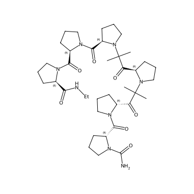 CCNC(=O)[C@H]1CCCN1C(=O)[C@H]1CCCN1C(=O)[C@H]1CCCN1C(C)(C)C(=O)[C@H]1CCCN1C(C)(C)C(=O)[C@H]1CCCN1C(=O)[C@H]1CCCN1C(N)=O